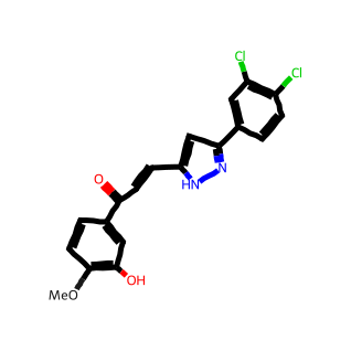 COc1ccc(C(=O)C=Cc2cc(-c3ccc(Cl)c(Cl)c3)n[nH]2)cc1O